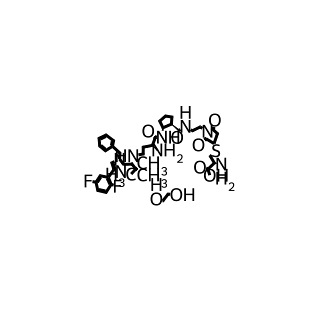 CC(C)(C)[C@@H](NCC[C@H](N)C(=O)N[C@H]1CCC[C@H]1C(=O)NCCN1C(=O)CC(SC[C@H](N)C(=O)O)C1=O)c1nc(-c2cc(F)ccc2F)cn1Cc1ccccc1.OCCO